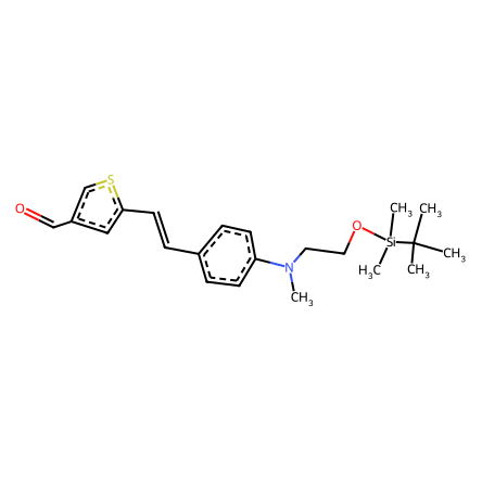 CN(CCO[Si](C)(C)C(C)(C)C)c1ccc(C=Cc2cc(C=O)cs2)cc1